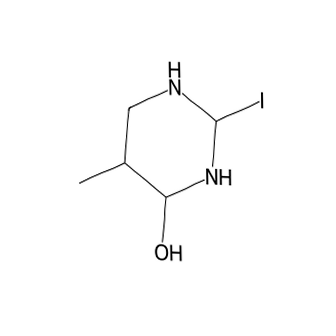 CC1CNC(I)NC1O